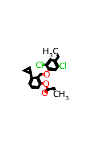 CCC(=O)Oc1cccc(C2CC2)c1COc1cc(Cl)c(CC)cc1Cl